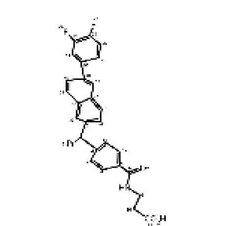 CCCC(c1ccc(C(=O)NCCC(=O)O)cc1)c1ccc2cc(-c3ccc(F)c(F)c3)ccc2c1